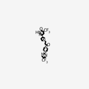 O=C(CCN1CC[C@@H](c2cc(C(F)(F)F)c(=O)[nH]n2)C1)N1CCN(c2ncc(C(F)(F)F)cn2)CC1